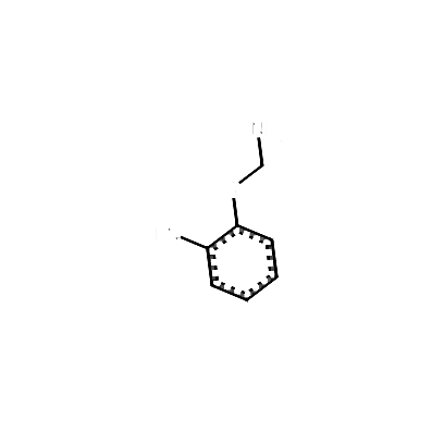 NCSc1ccccc1N